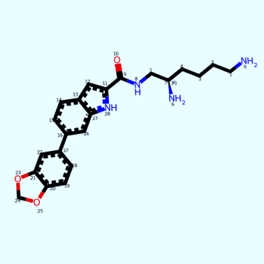 NCCCC[C@@H](N)CNC(=O)c1cc2ccc(-c3ccc4c(c3)OCO4)cc2[nH]1